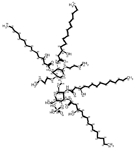 CCCCCCCCCCC[C@@H](O)CC(=O)N[C@@H]1[C@@H](OCCOP)O[C@H](CO[C@@H]2O[C@H](CO)[C@@H](OP(=O)(O)O)[C@H](OC(=O)C[C@H](O)CCCCCCCCCCC)[C@@H]2NC(=O)C[C@H](O)CCCCCCCCCCC)[C@@H](OCCOP)[C@@H]1OC(=O)C[C@H](O)CCCCCCCCCCC